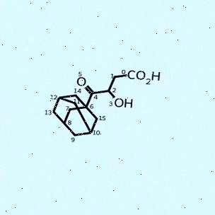 O=C(O)CC(O)C(=O)C12CC3CC(CC(C3)C1)C2